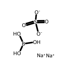 O=S(=O)([O-])[O-].OB(O)O.[Na+].[Na+]